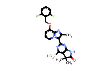 Cc1nc2c(OCc3c(F)cccc3F)cccn2c1-c1nc2c(c(C(=O)O)n1)C(C)(C)C(=O)N2